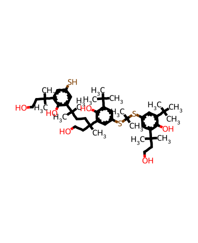 CC(C)(Sc1cc(C(C)(C)C)c(O)c(C(C)(C)CCO)c1)Sc1cc(C(C)(C)C)c(O)c(C(C)(CCO)CCC(C)(C)c2cc(S)cc(C(C)(C)CCO)c2O)c1